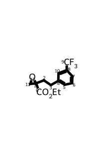 CCOC(=O)C1(CCc2cccc(C(F)(F)F)c2)CO1